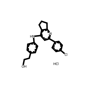 Cl.OCCc1ccc(Nc2cc(-c3ccc(Cl)cc3)nc3c2CCC3)cc1